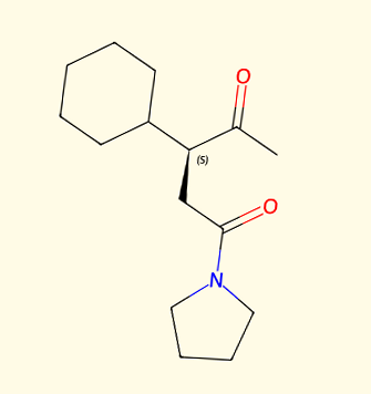 CC(=O)[C@@H](CC(=O)N1CCCC1)C1CCCCC1